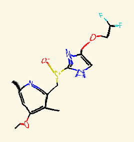 COc1cc(C)nc(C[S+]([O-])c2nc(OCC(F)F)c[nH]2)c1C